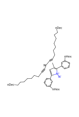 CCCCCCCCCCCCCCCCCC#[C][Ni][C]#CCCCCCCCCCCCCCCCCC.CCCCCCc1cccc(C2=CC(C)=C(c3cccc(CCCCCC)c3)[N+]2=[N-])c1